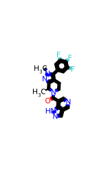 C[C@H]1c2nn(C)c(-c3cc(F)c(F)c(F)c3)c2CCN1C(=O)c1cncc2cn[nH]c12